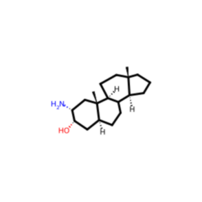 C[C@@]12CCC[C@H]1C1CC[C@H]3C[C@H](O)[C@H](N)C[C@]3(C)[C@H]1CC2